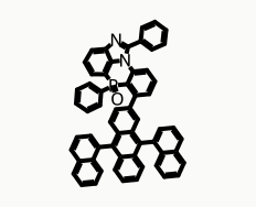 O=P1(c2ccccc2)c2c(-c3ccc4c(-c5cccc6ccccc56)c5ccccc5c(-c5cccc6ccccc56)c4c3)cccc2-n2c(-c3ccccc3)nc3cccc1c32